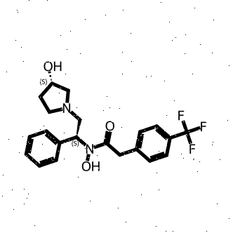 O=C(Cc1ccc(C(F)(F)F)cc1)N(O)[C@H](CN1CC[C@H](O)C1)c1ccccc1